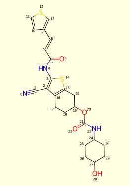 N#Cc1c(NC(=O)C=Cc2ccsc2)sc2c1CCC(OC(=O)NC1CCC(O)CC1)C2